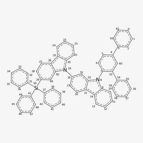 c1ccc(-c2ccc(-n3c4ccccc4c4ccc(-n5c6ccccc6c6ccc([Si](c7ccccc7)(c7ccccc7)c7ccccc7)cc65)cc43)c(-c3ccccc3)c2)cc1